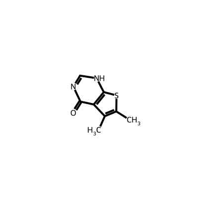 Cc1sc2[nH]cnc(=O)c2c1C